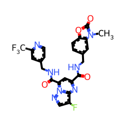 Cn1c(=O)oc2ccc(CNC(=O)c3cc(C(=O)NCc4ccnc(C(F)(F)F)c4)n4ncc(F)c4n3)cc21